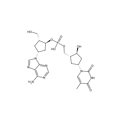 Cc1cn([C@@H]2C[C@H](COP(=O)(O)O[C@H]3C[C@H](n4cnc5c(N)ncnc54)C[C@@H]3CO)[C@@H](O)C2)c(=O)[nH]c1=O